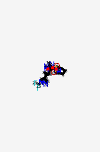 O=S(=O)(C1CC1)N1C2CCC1CN(c1ncnn3cc(-c4cnn(C(F)F)c4)cc13)C2